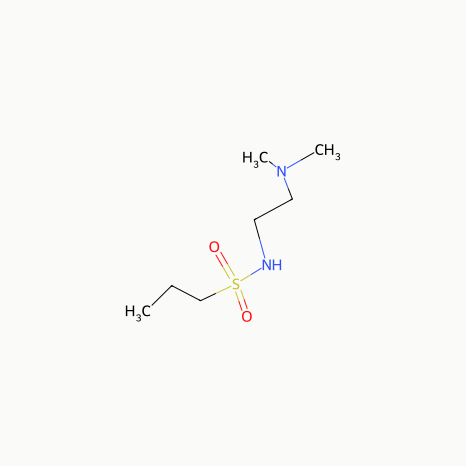 CCCS(=O)(=O)NCCN(C)C